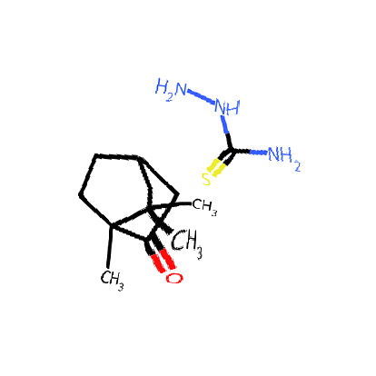 CC12CCC(CC1=O)C2(C)C.NNC(N)=S